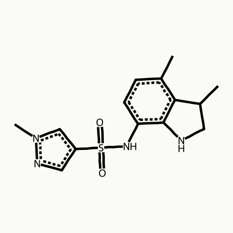 Cc1ccc(NS(=O)(=O)c2cnn(C)c2)c2c1C(C)CN2